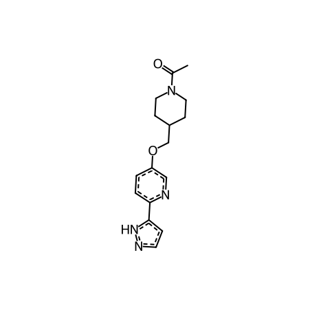 CC(=O)N1CCC(COc2ccc(-c3ccn[nH]3)nc2)CC1